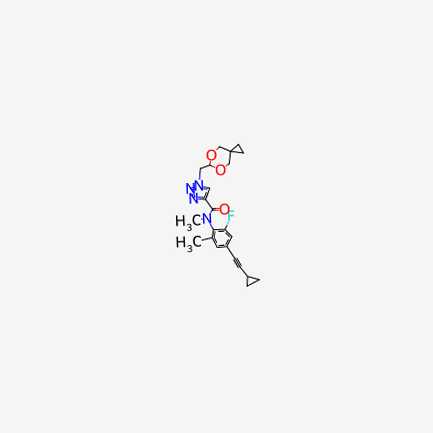 Cc1cc(C#CC2CC2)cc(F)c1N(C)C(=O)c1cn(CC2OCC3(CC3)CO2)nn1